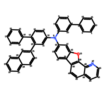 c1ccc(-c2cccc(N(c3ccc(-c4ccccc4)c(-c4ccc5ccccc5c4)c3)c3ccc4c(c3)oc3c4ccc4cccnc43)c2)cc1